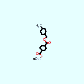 CCCCCCCCOC(=O)C1CCC(C(=O)OCC2CCC(C)CC2)CC1